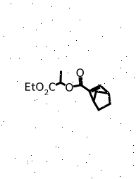 CCOC(=O)C(C)OC(=O)C1=CC2CCC1C2